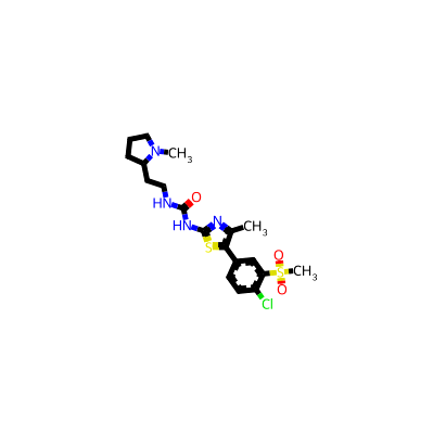 Cc1nc(NC(=O)NCCC2CCCN2C)sc1-c1ccc(Cl)c(S(C)(=O)=O)c1